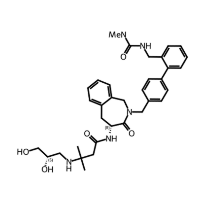 CNC(=O)NCc1ccccc1-c1ccc(CN2Cc3ccccc3C[C@@H](NC(=O)CC(C)(C)NC[C@H](O)CO)C2=O)cc1